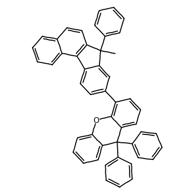 CC1(c2ccccc2)c2cc(-c3cccc4c3Oc3ccccc3C4(c3ccccc3)c3ccccc3)ccc2-c2c1ccc1ccccc21